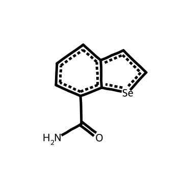 NC(=O)c1cccc2cc[se]c12